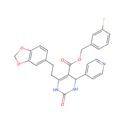 O=C1NC(CCc2ccc3c(c2)OCO3)=C(C(=O)OCc2cccc(F)c2)C(c2ccncc2)N1